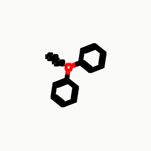 [Se].[Se].c1ccc(Oc2ccccc2)cc1